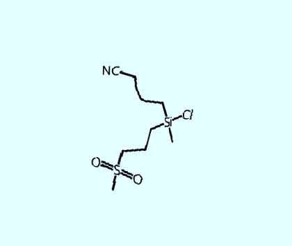 C[Si](Cl)(CCCC#N)CCCS(C)(=O)=O